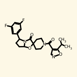 CC(C)c1oncc1C(=O)N1CCC2(CC1)OC1CCC(c3cc(F)cc(F)c3)N1C2=O